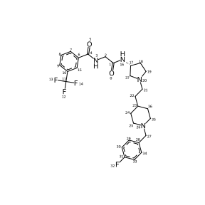 O=C(CNC(=O)c1cccc(C(F)(F)F)c1)N[C@@H]1CCN(CCC2CCN(Cc3ccc(F)cc3)CC2)C1